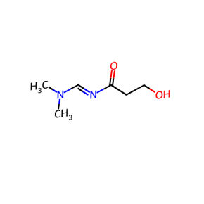 CN(C)/C=N/C(=O)CCO